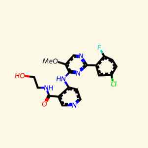 COc1cnc(-c2cc(Cl)ccc2F)nc1Nc1ccncc1C(=O)NCCO